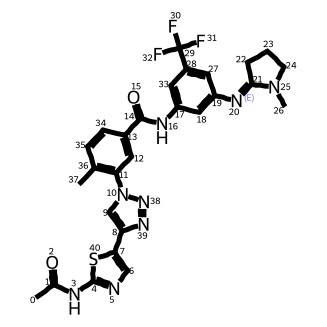 CC(=O)Nc1ncc(-c2cn(-c3cc(C(=O)Nc4cc(/N=C5\CCCN5C)cc(C(F)(F)F)c4)ccc3C)nn2)s1